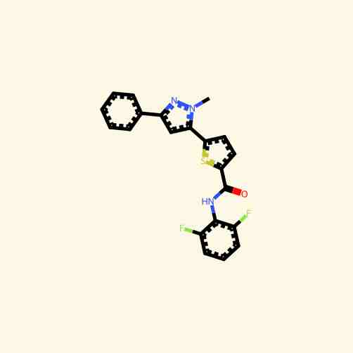 Cn1nc(-c2ccccc2)cc1-c1ccc(C(=O)Nc2c(F)cccc2F)s1